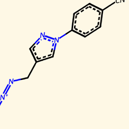 N#Cc1ccc(-n2cc(CN=[N+]=[N-])cn2)cc1